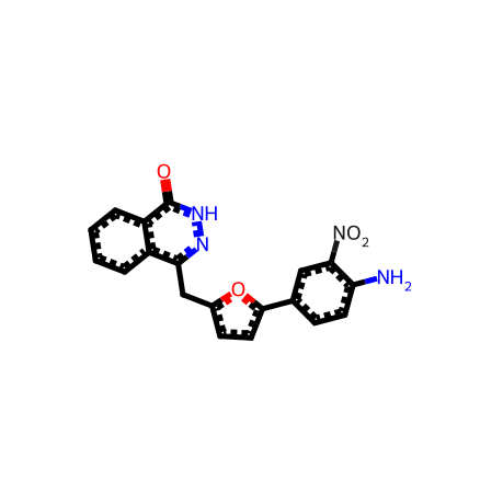 Nc1ccc(-c2ccc(Cc3n[nH]c(=O)c4ccccc34)o2)cc1[N+](=O)[O-]